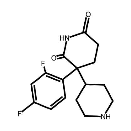 O=C1CCC(c2ccc(F)cc2F)(C2CCNCC2)C(=O)N1